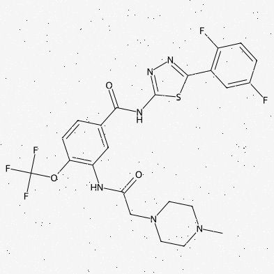 CN1CCN(CC(=O)Nc2cc(C(=O)Nc3nnc(-c4cc(F)ccc4F)s3)ccc2OC(F)(F)F)CC1